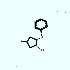 CN1C[C@@H](O)[C@@H](Oc2ccccc2)C1